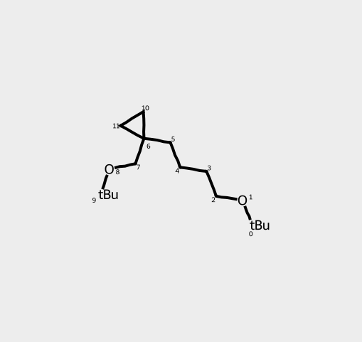 CC(C)(C)OCCCCC1(COC(C)(C)C)CC1